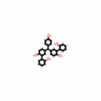 Oc1ccc(C(c2ccc(O)c(-c3ccccc3O)c2)c2ccc(O)c(-c3ccccc3O)c2)cc1